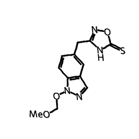 COCOn1ncc2cc(Cc3noc(=S)[nH]3)ccc21